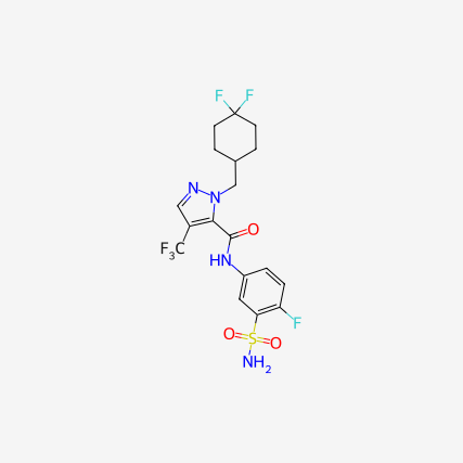 NS(=O)(=O)c1cc(NC(=O)c2c(C(F)(F)F)cnn2CC2CCC(F)(F)CC2)ccc1F